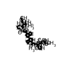 COC(=O)N[C@H](C(=O)N1CCC[C@H]1C(=O)OCC(=O)c1ccc(-c2ccc(C(=O)COC(=O)[C@]3(C)CCCN3C(=O)[C@@H](NC(=O)OC)C(C)C)c3c2CCC3)c2c1CCC2)C(C)C